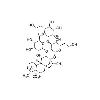 C=C1C[C@@]23CC[C@H]4[C@@](C)(CCC[C@@]4(C)C(=O)O)[C@@H]2CC[C@]1(O[C@@H]1O[C@H](CCO)[C@@H](O)[C@H](O[C@@H]2O[C@H](CCO)[C@@H](O)[C@H](O)[C@H]2O)[C@H]1O[C@@H]1O[C@H](CO)[C@@H](O)[C@H](O)[C@H]1O)C3